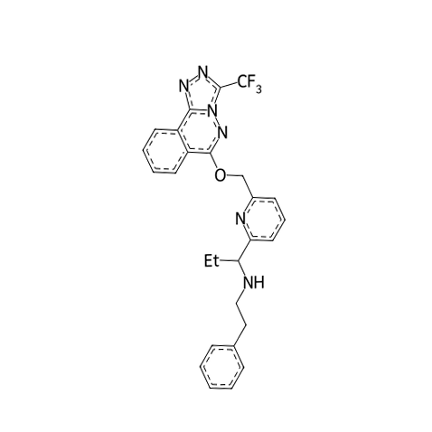 CCC(NCCc1ccccc1)c1cccc(COc2nn3c(C(F)(F)F)nnc3c3ccccc23)n1